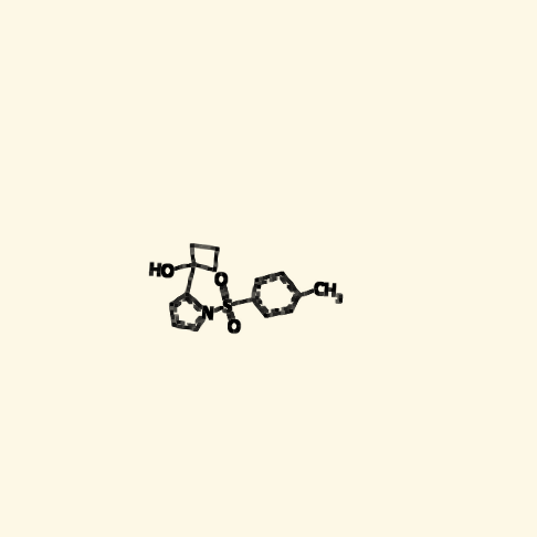 Cc1ccc(S(=O)(=O)n2cccc2C2(O)CCC2)cc1